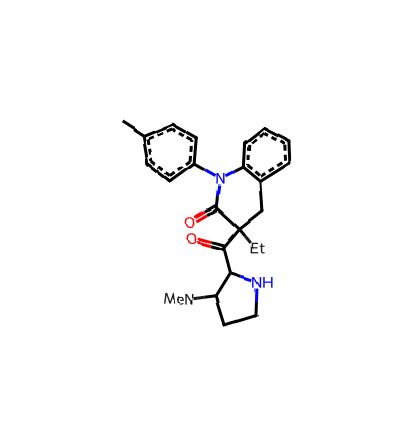 CCC1(C(=O)C2NCCC2NC)Cc2ccccc2N(c2ccc(C)cc2)C1=O